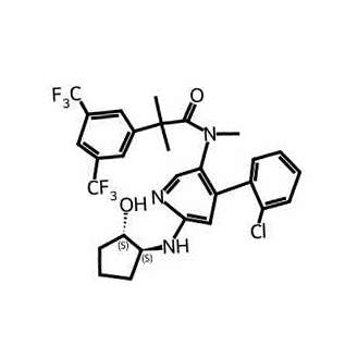 CN(C(=O)C(C)(C)c1cc(C(F)(F)F)cc(C(F)(F)F)c1)c1cnc(N[C@H]2CCC[C@@H]2O)cc1-c1ccccc1Cl